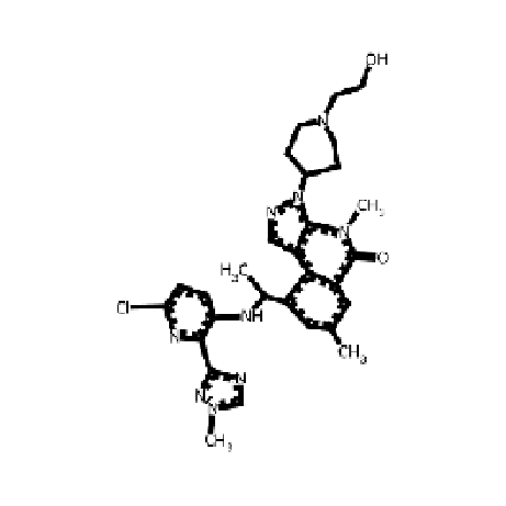 Cc1cc(C(C)Nc2ccc(Cl)nc2-c2ncn(C)n2)c2c(c1)c(=O)n(C)c1c2cnn1C1CCN(CCO)CC1